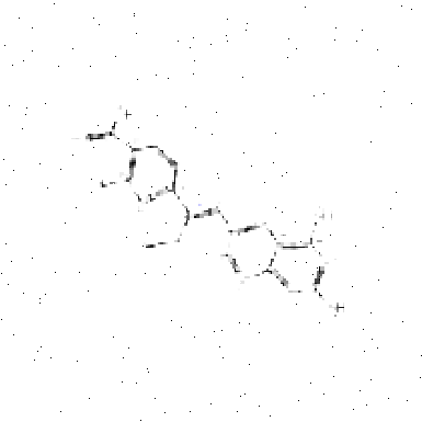 CC/C(=C\c1cnc2nc(N)nc(N)c2n1)c1ccc(C(=O)O)c(C)c1